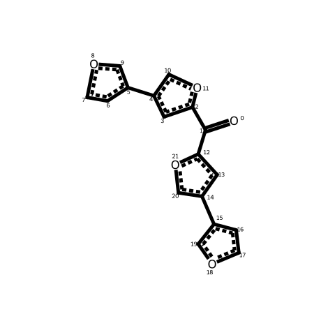 O=C(c1cc(-c2ccoc2)co1)c1cc(-c2ccoc2)co1